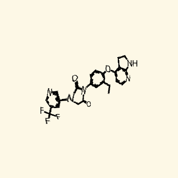 CCc1cc(N2C(=O)CN(c3cncc(C(F)(F)F)c3)C2=O)ccc1Oc1ccnc2c1CCN2